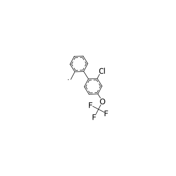 [CH2]c1ccccc1-c1ccc(OC(F)(F)F)cc1Cl